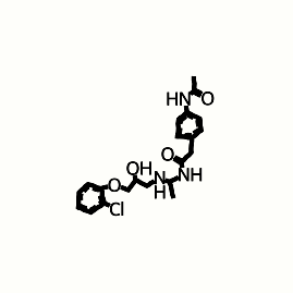 CC(=O)Nc1ccc(CC(=O)NC(C)NCC(O)COc2ccccc2Cl)cc1